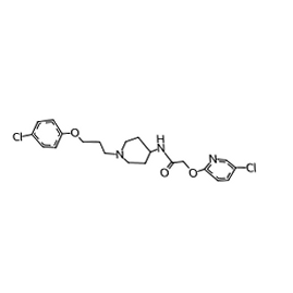 O=C(COc1ccc(Cl)cn1)NC1CCN(CCCOc2ccc(Cl)cc2)CC1